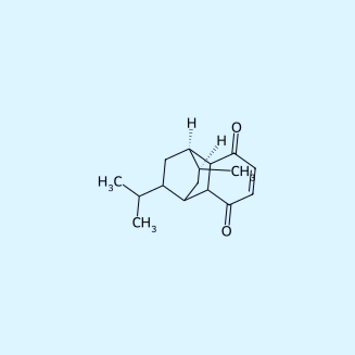 CC(C)C1C[C@H]2C3C(=O)C=CC(=O)C3C1C[C@@H]2C